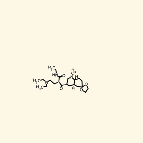 CCNC(=O)N(CCN(CC)CC)C(=O)[C@@H]1C[C@@H]2CC3(CC[C@H]2N(C)C1)OCCO3